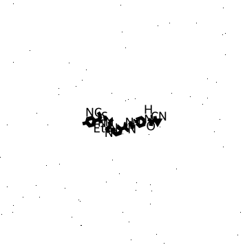 CCc1nc2ccc(-c3cnc(N4CCC(NC(=O)C5(C#N)CC5)CC4)nc3)cn2c1N(C)c1nc(-c2ccc(C)cc2)c(C#N)s1